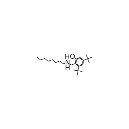 CCCCCCCCNCc1c(O)cc(C(C)(C)C)cc1C(C)(C)C